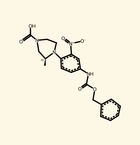 C[C@H]1CN(C(=O)O)CCN1c1ccc(NC(=O)OCc2ccccc2)cc1[N+](=O)[O-]